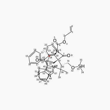 C=CCOC(=O)N1C(=O)[C@](C=P(c2ccccc2)(c2ccccc2)c2ccccc2)([C@H](CO[SiH](C)C)C(C)(C)C)[C@H]1[C@@H](C)C(=O)c1ncn2ccsc12